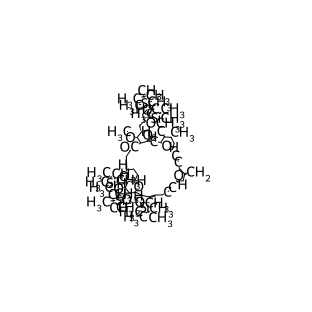 C=C1C[C@@H]2CCC/C=C/C(O[Si](C)(C)C(C)(C)C)[C@@H]3O[C@H]4CC[C@H](CC(=O)CC5[C@H](CC6O[C@@H](CCC1O2)C[C@@H](C)C6=C)O[C@H](C[C@@H](CO[Si](C)(C)C(C)(C)C)O[Si](C)(C)C(C)(C)C)[C@@H]5OC)O[C@@H]4C(O[Si](C)(C)C(C)(C)C)C3O[Si](C)(C)C(C)(C)C